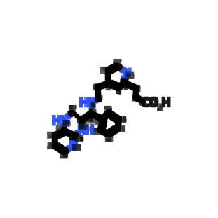 O=C(O)CCc1cc(CCN[C@H](c2ccccc2)[C@H]2CNc3cccnc3N2)ccn1